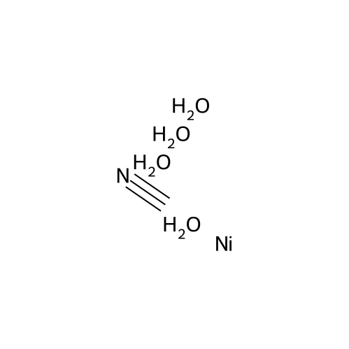 C#N.O.O.O.O.[Ni]